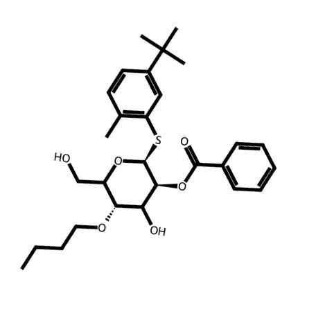 CCCCO[C@@H]1C(CO)O[C@@H](Sc2cc(C(C)(C)C)ccc2C)[C@@H](OC(=O)c2ccccc2)C1O